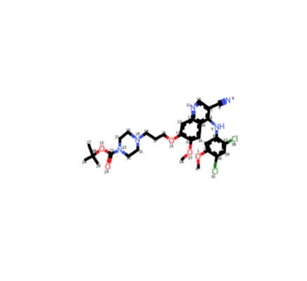 COc1cc(Nc2c(C#N)cnc3cc(OCCCN4CCN(C(=O)OC(C)(C)C)CC4)c(OC)cc23)c(Cl)cc1Cl